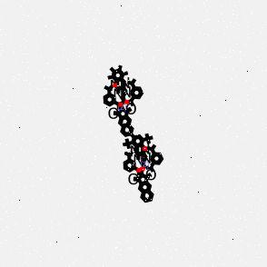 Cc1c(C)c(C)c2nc3c(nc2c1C)N(c1c(C(C)C)cccc1C(C)C)C(=C/C=C1/C(=O)c2cc4ccc(-c5cc(C(C)(C)C)c6nc7c(nc6c5C(C)(C)C)N(c5c(C(C)C)cccc5C(C)C)/C(=C\C=C5C(=O)c6cc8ccccc8cc6C5=O)N7c5c(C(C)C)cccc5C(C)C)cc4cc2C1=O)N3c1c(C(C)C)cccc1C(C)C